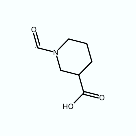 O=[C]N1CCCC(C(=O)O)C1